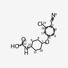 N#Cc1ccc(OC2CCC(NC(=O)O)CC2)cc1Cl